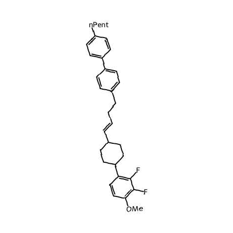 CCCCCc1ccc(-c2ccc(CC/C=C/C3CCC(c4ccc(OC)c(F)c4F)CC3)cc2)cc1